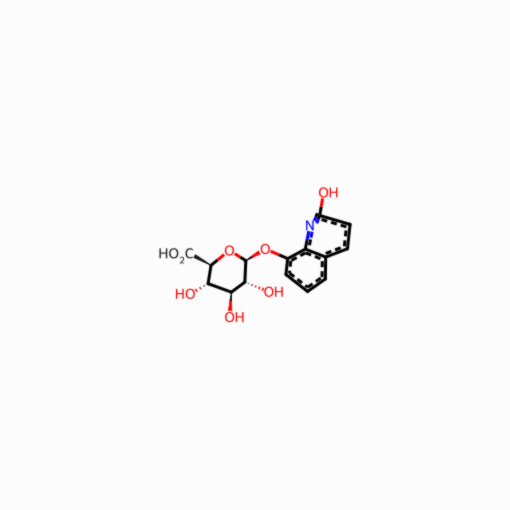 O=C(O)[C@H]1O[C@@H](Oc2cccc3ccc(O)nc23)[C@H](O)[C@@H](O)[C@@H]1O